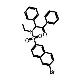 CCN(C(C(=O)c1ccccc1)c1ccccc1)S(=O)(=O)c1ccc2cc(Br)ccc2c1